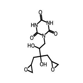 O=c1[nH]c(=O)n(CC(O)C(O)(CC2CO2)CC2CO2)c(=O)[nH]1